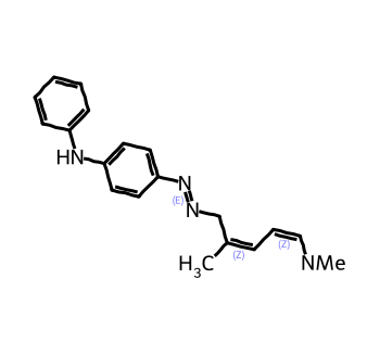 CN/C=C\C=C(\C)C/N=N/c1ccc(Nc2ccccc2)cc1